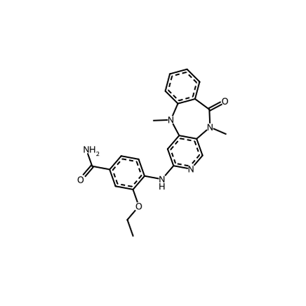 CCOc1cc(C(N)=O)ccc1Nc1cc2c(cn1)N(C)C(=O)c1ccccc1N2C